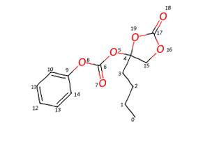 CCCCC1(OC(=O)Oc2ccccc2)COC(=O)O1